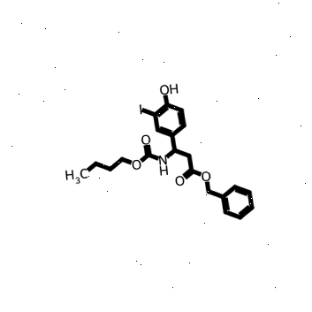 CCCCOC(=O)NC(CC(=O)OCc1ccccc1)c1ccc(O)c(I)c1